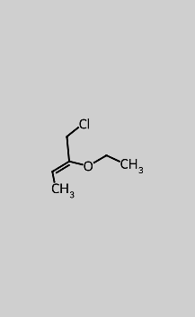 CC=C(CCl)OCC